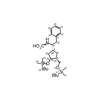 CC(C)(C)[Si](C)(C)OC[C@@H]1C[C@@H](C(Cc2ccccc2)NC(=O)O)C[C@@H]1O[Si](C)(C)C(C)(C)C